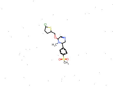 CN1C(OCC2CCC(Cl)S2)C=NCC1c1ccc(S(C)(=O)=O)cc1